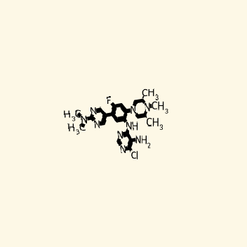 C[C@@H]1CN(c2cc(F)c(-c3cnc(N(C)C)nc3)cc2Nc2ncnc(Cl)c2N)C[C@H](C)N1C